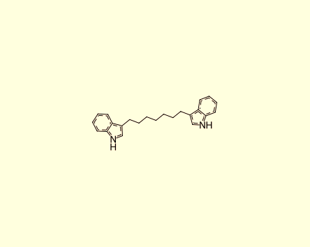 c1ccc2c(CCCCCCCc3c[nH]c4ccccc34)c[nH]c2c1